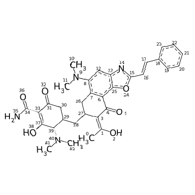 C/C(O)=C1/C(=O)c2c(c(N(C)C)cc3nc(/C=C/c4ccccc4)oc23)CC1CC1CC(=O)C(C(N)=O)=C(O)[C@H]1N(C)C